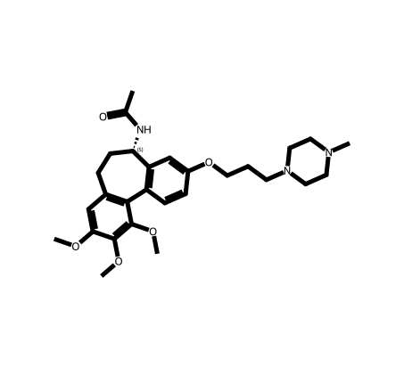 COc1cc2c(c(OC)c1OC)-c1ccc(OCCCN3CCN(C)CC3)cc1[C@@H](NC(C)=O)CC2